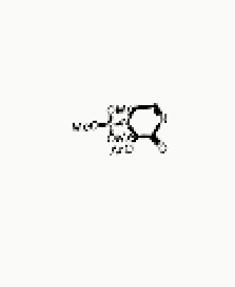 CO[Si](OC)(OC)N1CC=NC(=O)C1OC(C)=O